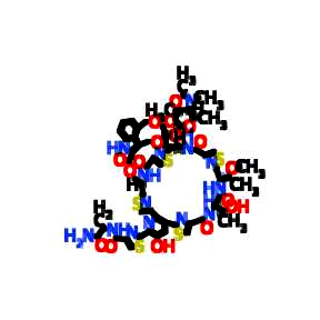 C=C(NC(=O)c1csc(-c2nc3c(cc2O)-c2nc(cs2)C(=O)N[C@@H]([C@@H](C)O)C(=O)N/C(=C(\C)OC)c2nc(cs2)C(=O)N[C@@H]2c4nc(cs4)C(=O)N[C@@H](COC(=O)c4[nH]c5cccc6c5c4COC2[C@H](O[C@H]2C[C@]4(C)OC(C)N(C)[C@@H]4[C@H](C)O2)C(=O)OC6)c2nc-3cs2)n1)C(N)=O